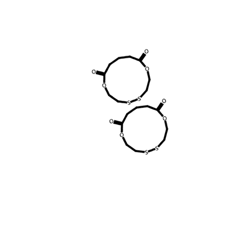 O=C1CCCC(=O)OCCSSCCO1.O=C1CCCC(=O)OCCSSCCO1